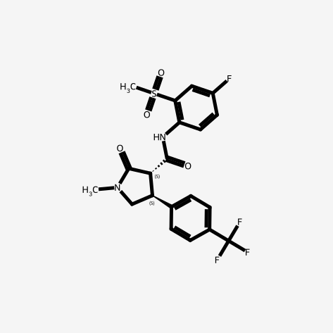 CN1C[C@H](c2ccc(C(F)(F)F)cc2)[C@@H](C(=O)Nc2ccc(F)cc2S(C)(=O)=O)C1=O